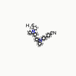 CC1C=CC=C(n2c3ccccc3c3cc(-c4ccc5c6ccccc6n(-c6ccc(-c7ccc(C#N)cc7)cc6)c5c4)ccc32)C1